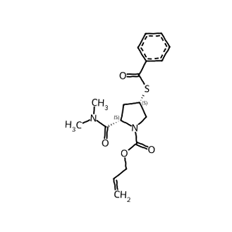 C=CCOC(=O)N1C[C@@H](SC(=O)c2ccccc2)C[C@H]1C(=O)N(C)C